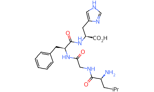 CC(C)C[C@H](N)C(=O)NCC(=O)N[C@@H](Cc1ccccc1)C(=O)N[C@@H](Cc1c[nH]cn1)C(=O)O